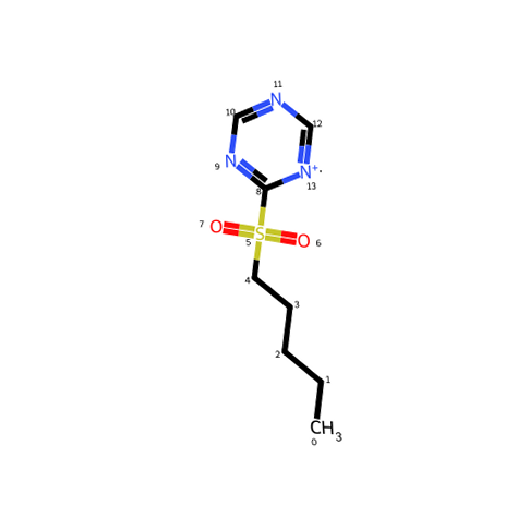 CCCCCS(=O)(=O)C1=NC=NC=[N+]1